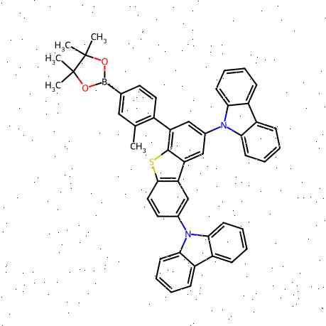 Cc1cc(B2OC(C)(C)C(C)(C)O2)ccc1-c1cc(-n2c3ccccc3c3ccccc32)cc2c1sc1ccc(-n3c4ccccc4c4ccccc43)cc12